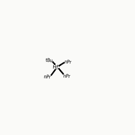 CC[CH2][Hf]([CH2]CC)([CH2]CC)[C](C)(C)C